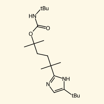 CC(C)(C)NC(=O)OC(C)(C)CCC(C)(C)c1ncc(C(C)(C)C)[nH]1